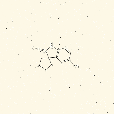 Nc1ccc2c(c1)C1(CCCC1)C(=O)N2